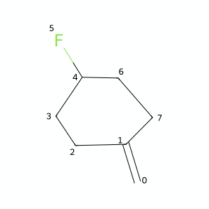 C=C1CCC(F)CC1